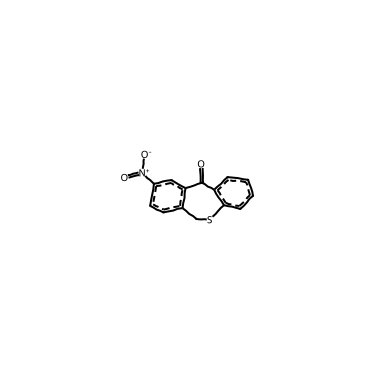 O=C1c2cc([N+](=O)[O-])ccc2CSc2ccccc21